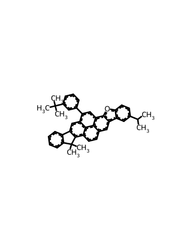 CC(C)c1ccc2oc3c(cc4ccc5c6c(cc7c(-c8cccc(C(C)(C)C)c8)cc3c4c75)-c3ccccc3C6(C)C)c2c1